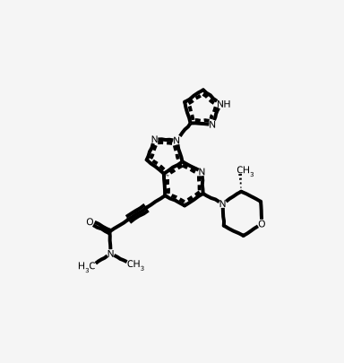 C[C@@H]1COCCN1c1cc(C#CC(=O)N(C)C)c2cnn(-c3cc[nH]n3)c2n1